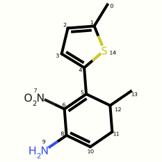 Cc1ccc(C2=C([N+](=O)[O-])C(N)=CCC2C)s1